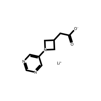 O=C([O-])CC1CN(c2cncnc2)C1.[Li+]